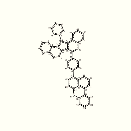 c1ccc(-n2c3c4ccccc4ccc3c3c(-c4ccc(-c5ccc6c7c(cccc57)-c5ccccc5S6)cc4)cc4ccccc4c32)cc1